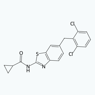 O=C(Nc1nc2ccc(Cc3c(Cl)cccc3Cl)cc2s1)C1CC1